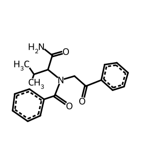 CC(C)C(C(N)=O)N(CC(=O)c1ccccc1)C(=O)c1ccccc1